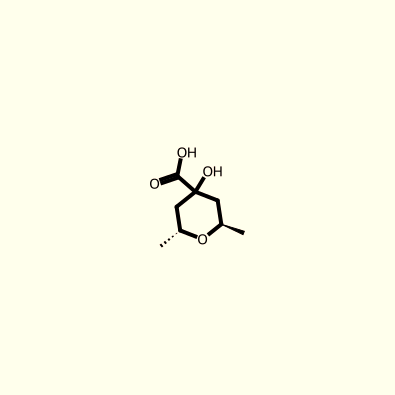 C[C@@H]1CC(O)(C(=O)O)C[C@@H](C)O1